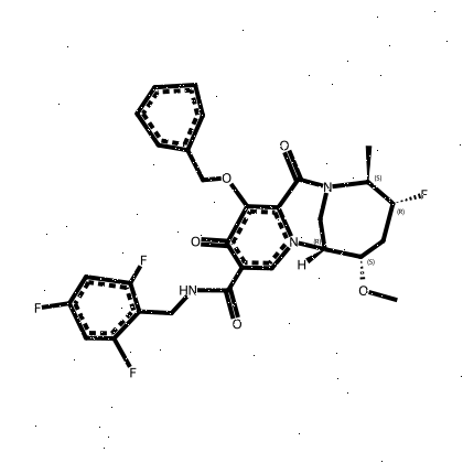 CO[C@H]1C[C@@H](F)[C@H](C)N2C[C@H]1n1cc(C(=O)NCc3c(F)cc(F)cc3F)c(=O)c(OCc3ccccc3)c1C2=O